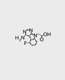 Nc1ncnc2c1c1c(F)cccc1n2CC(=O)O